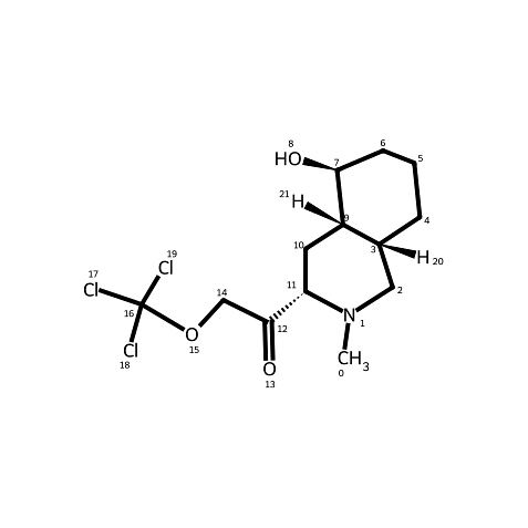 CN1C[C@H]2CCC[C@H](O)[C@H]2C[C@H]1C(=O)COC(Cl)(Cl)Cl